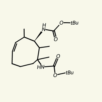 CC1/C=C\CCCC(C)(NC(=O)OC(C)(C)C)C(C)[C@@H]1NC(=O)OC(C)(C)C